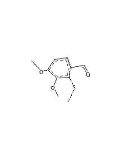 COc1ccc(C=O)c(SC)c1OC